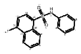 O=S(=O)(Nc1ccccc1)c1ccc(F)c2ccccc12